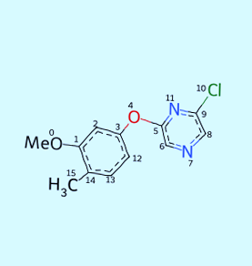 COc1cc(Oc2cncc(Cl)n2)ccc1C